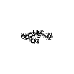 COc1cccc(C2=C(/C=C/C(=O)N[C@H](C)CCCc3cccnc3)CCc3cc(OC)ccc32)c1